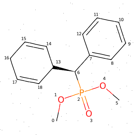 COP(=O)(OC)[C@H](c1ccccc1)C1C=CCC=C1